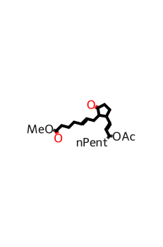 CCCCCC(C=CC1CCC(=O)C1CC=CCCCC(=O)OC)OC(C)=O